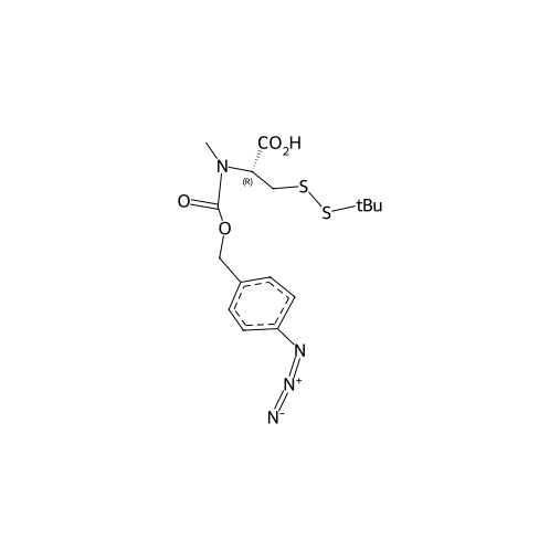 CN(C(=O)OCc1ccc(N=[N+]=[N-])cc1)[C@@H](CSSC(C)(C)C)C(=O)O